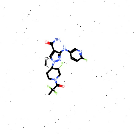 CC(F)(F)C(=O)N1CC[C@@](CC#N)(n2cc(C(N)=O)c(Nc3ccc(F)nc3)n2)[C@H](F)C1